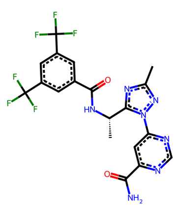 Cc1nc([C@H](C)NC(=O)c2cc(C(F)(F)F)cc(C(F)(F)F)c2)n(-c2cc(C(N)=O)ncn2)n1